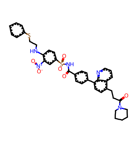 O=C(NS(=O)(=O)c1ccc(NCCSc2ccccc2)c([N+](=O)[O-])c1)c1ccc(-c2ccc(CCC(=O)N3CCCCC3)c3cccnc23)cc1